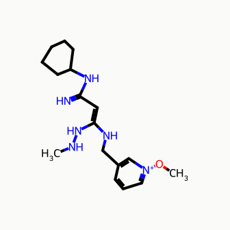 CNN/C(=C\C(=N)NC1CCCCC1)NCc1ccc[n+](OC)c1